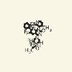 [2H]C1([2H])CN(c2nc(=O)n(-c3c(C)ccnc3C(C)C)c3nc(-c4c(O)cccc4F)c(F)cc23)CC([2H])([2H])N1C(=O)C=C